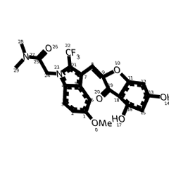 COc1ccc2c(c1)c(C=C1Oc3cc(O)cc(O)c3C1=O)c(C(F)(F)F)n2CC(=O)N(C)C